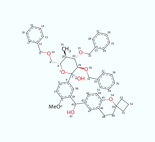 COc1ccc(C2(O)O[C@H](COCc3ccccc3)[C@@H](C)[C@H](OCc3ccccc3)[C@H]2OCc2ccccc2)cc1C(O)c1ccc2c(c1)CCC1(CCC1)O2